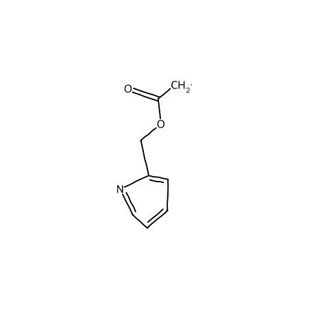 [CH2]C(=O)OCc1ccccn1